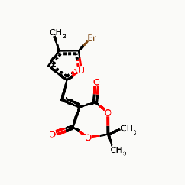 Cc1cc(C=C2C(=O)OC(C)(C)OC2=O)oc1Br